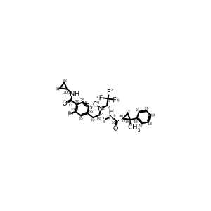 CN(CC(F)(F)F)[C@H](CNC(=O)[C@@H]1C[C@]1(C)c1ccccc1)Cc1ccc(C(=O)NC2CC2)c(F)c1